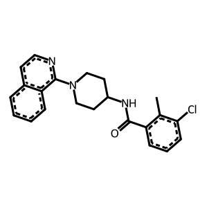 Cc1c(Cl)cccc1C(=O)NC1CCN(c2nccc3ccccc23)CC1